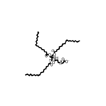 CCCCCCCC/C=C\CCCCCCCC(=O)OCC(COC(=O)CCCCCCC/C=C\CCCCCCCC)(COC(=O)CCCCCCC/C=C\CCCCCCCC)NC(=O)CC[N+](C)(C)CC(=O)[O-]